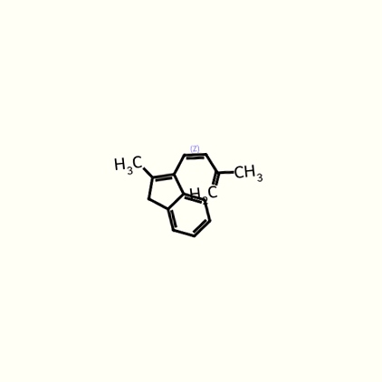 C=C(C)/C=C\C1=C(C)Cc2ccccc21